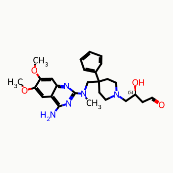 COc1cc2nc(N(C)CC3(c4ccccc4)CCN(C[C@@H](O)CC=O)CC3)nc(N)c2cc1OC